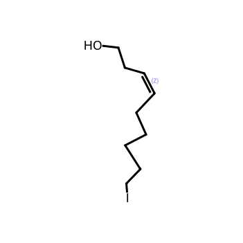 OCC/C=C\CCCCCI